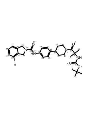 CC(C)(C)OC(=O)NC(C)(C)C(=O)N1CCC(c2ccc(NC(=O)N3Cc4cccc(F)c4C3)cc2)CC1